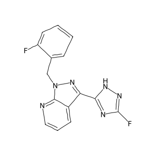 Fc1n[nH]c(-c2nn(Cc3ccccc3F)c3ncccc23)n1